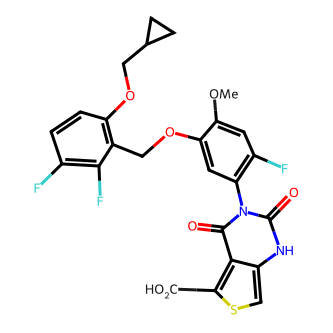 COc1cc(F)c(-n2c(=O)[nH]c3csc(C(=O)O)c3c2=O)cc1OCc1c(OCC2CC2)ccc(F)c1F